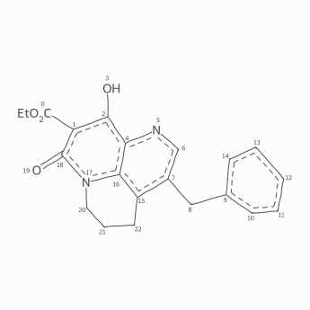 CCOC(=O)c1c(O)c2ncc(Cc3ccccc3)c3c2n(c1=O)CCC3